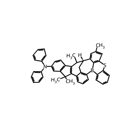 Cc1cc2c3c(c1)[C@@H]1Cc4c(cccc4C4=C(c5ccc(N(c6ccccc6)c6ccccc6)cc5C4(C)C)C1C)B3c1ccccc1S2